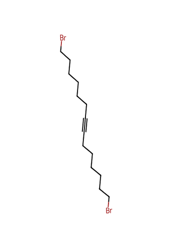 BrCCCCCCC#CCCCCCCBr